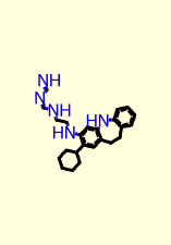 N=C/N=C\NCCNc1cc2c(cc1C1CCCCC1)CCc1ccccc1N2